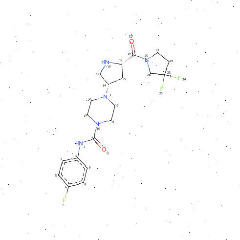 O=C(Nc1ccc(F)cc1)N1CCN([C@@H]2CN[C@H](C(=O)N3CCC(F)(F)C3)C2)CC1